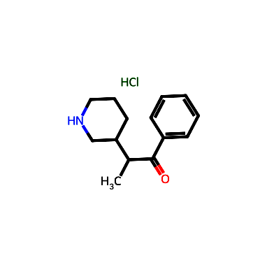 CC(C(=O)c1ccccc1)C1CCCNC1.Cl